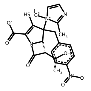 CC1=NC=C[N+]1(C)C1(Cc2ccc([N+](=O)[O-])cc2)C(S)=C(C(=O)[O-])N2C(=O)[C@@H]([C@@H](C)O)C21